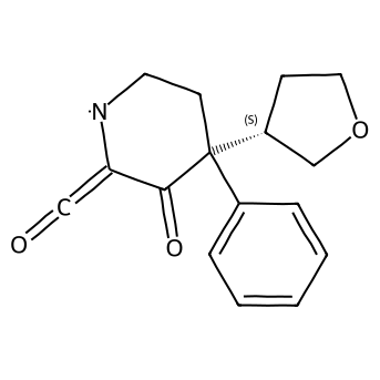 O=C=C1[N]CCC(c2ccccc2)([C@@H]2CCOC2)C1=O